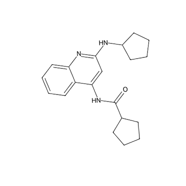 O=C(Nc1cc(NC2CCCC2)nc2ccccc12)C1CCCC1